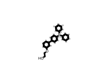 OCCOc1cccc(-c2ccc(N(c3ccccc3)c3ccccc3)cc2)c1